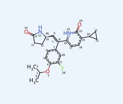 CC(C)Oc1ccc(/C(=C\[C@H]2CCC(=O)N2)c2ccc(C3CC3)c(=O)[nH]2)cc1F